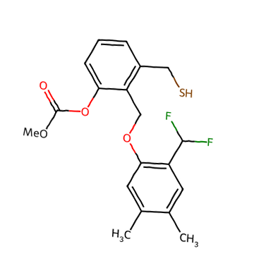 COC(=O)Oc1cccc(CS)c1COc1cc(C)c(C)cc1C(F)F